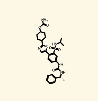 CC(C)NS(=O)(=O)c1cc(NC(=O)N[C@H](C)c2ccccc2)ccc1-c1cnc(C2CCC(OC(N)=O)CC2)s1